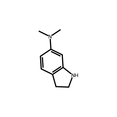 CN(C)c1ccc2c(c1)NCC2